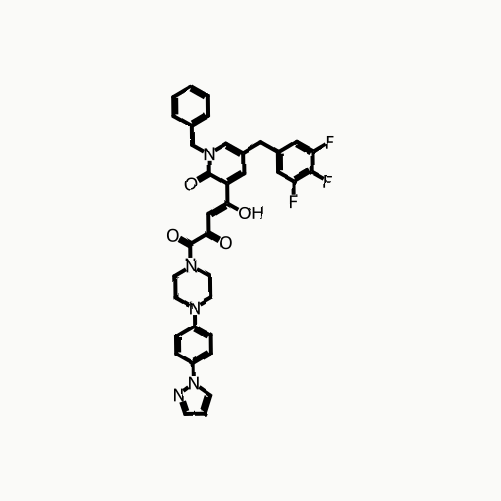 O=C(C=C(O)c1cc(Cc2cc(F)c(F)c(F)c2)cn(Cc2ccccc2)c1=O)C(=O)N1CCN(c2ccc(-n3cccn3)cc2)CC1